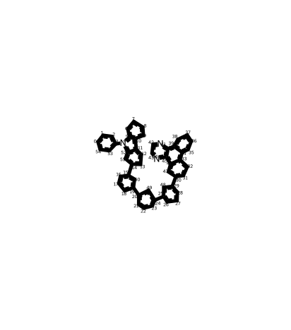 c1ccc(-n2c3ccccc3c3ccc(-c4cccc(-c5cccc(-c6cccc(-c7ccc8c9ccccc9c9nccnc9c8c7)c6)c5)c4)cc32)cc1